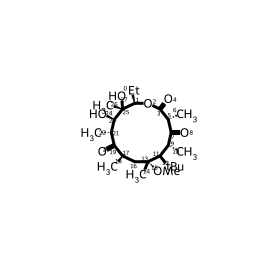 CC[C@H]1OC(=O)[C@H](C)C(=O)[C@H](C)C(C(C)(C)C)[C@](C)(OC)C[C@@H](C)C(=O)[C@H](C)[C@@H](O)[C@]1(C)O